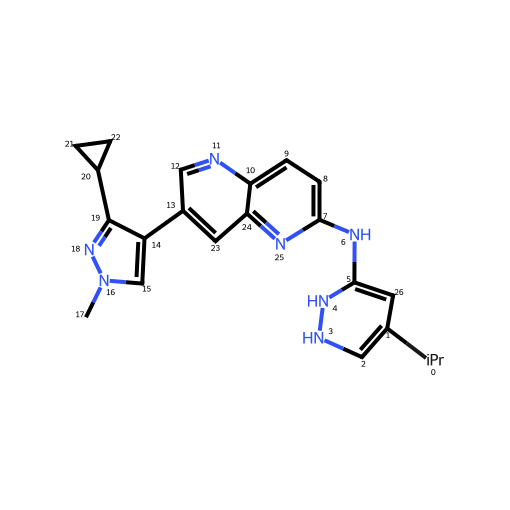 CC(C)C1=CNNC(Nc2ccc3ncc(-c4cn(C)nc4C4CC4)cc3n2)=C1